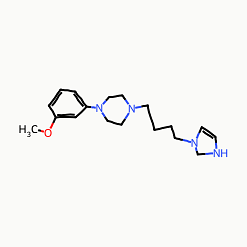 COc1cccc(N2CCN(CCCCN3C=CNC3)CC2)c1